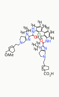 [2H]c1c([2H])c(NC(=O)c2nc3c(n2C([2H])([2H])[2H])CCN(CCC24CCC(C(=O)O)(CC2)C4)C3)c(C)c(-c2c([2H])c([2H])c([2H])c(NC(=O)c3nc4c(n3C([2H])([2H])[2H])CCN(CCC35CCC(COC)(CC3)C5)C4)c2Cl)c1[2H]